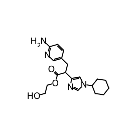 Nc1ccc(CC(C(=O)OCCO)c2cn(C3CCCCC3)cn2)cn1